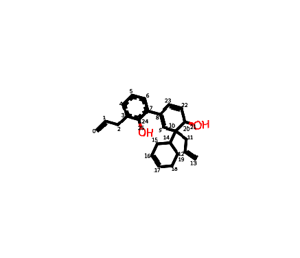 C=CCc1cccc(C2=CC(CC=C)(C3CC=CCC3)C(O)C=C2)c1O